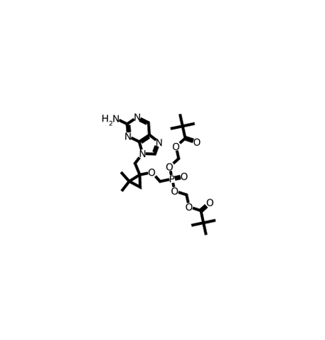 CC(C)(C)C(=O)OCOP(=O)(COC1(Cn2cnc3cnc(N)nc32)CC1(C)C)OCOC(=O)C(C)(C)C